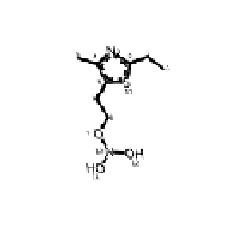 CCc1nc(C)c(CCON(O)O)s1